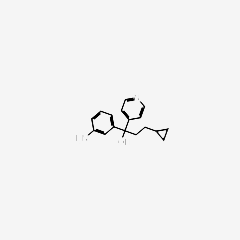 Nc1cccc(C(O)(CCC2CC2)c2ccncc2)c1